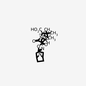 CN(C)CC(=O)OC1CC2CCC(C1)N2C=N[C@@H]1C(=O)N2[C@@H]1SC(C)(C)[C@@H]2C(=O)O